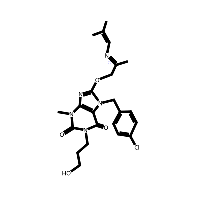 CC(C)=C/N=C(\C)COc1nc2c(c(=O)n(CCCO)c(=O)n2C)n1Cc1ccc(Cl)cc1